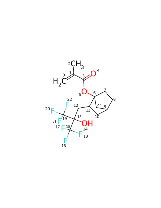 C=C(C)C(=O)OC12CCC(CC1CC(O)(C(F)(F)F)C(F)(F)F)C2